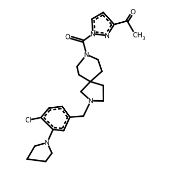 CC(=O)c1ccn(C(=O)N2CCC3(CCN(Cc4ccc(Cl)c(N5CCCC5)c4)C3)CC2)n1